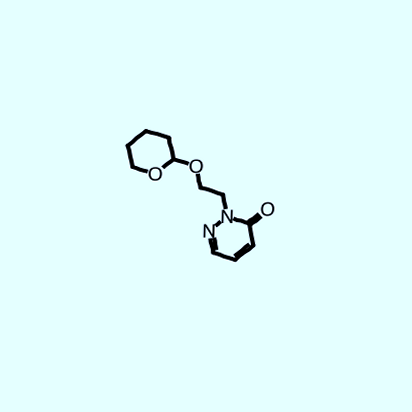 O=c1cccnn1CCOC1CCCCO1